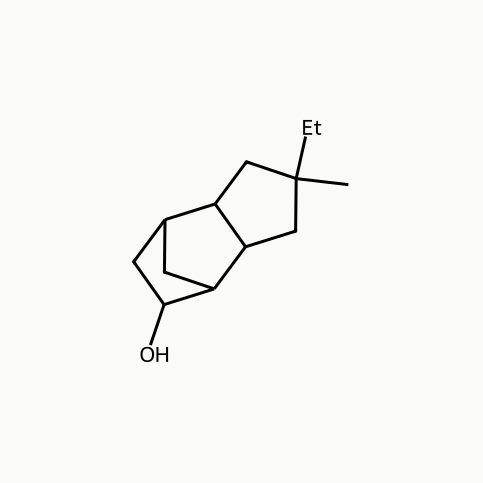 CCC1(C)CC2C3CC(O)C(C3)C2C1